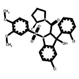 COc1ccc(S(=O)(=O)N2c3ccc(Cl)cc3C(O)(c3ccccc3Cl)C2C(=O)N2CCC[C@@H]2C)cc1OC